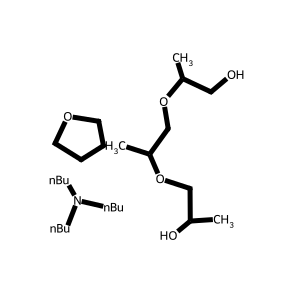 C1CCOC1.CC(O)COC(C)COC(C)CO.CCCCN(CCCC)CCCC